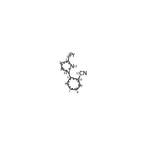 CC(C)c1ccn(-c2ccccc2C#N)n1